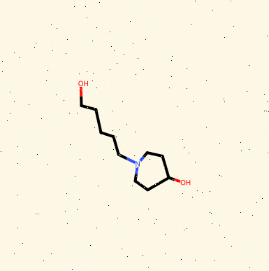 OCCCCCN1CCC(O)CC1